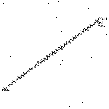 COCCOCCOCCOCCOCCOCCOCCOCCOCCOCCOCCOCCOCCOCCOCCOCCOCCOCCOCCOCCOCCOCCN(C(=O)O)C(=O)OC(C)(C)C